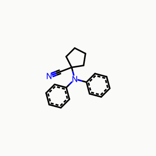 N#CC1(N(c2ccccc2)c2ccccc2)CCCC1